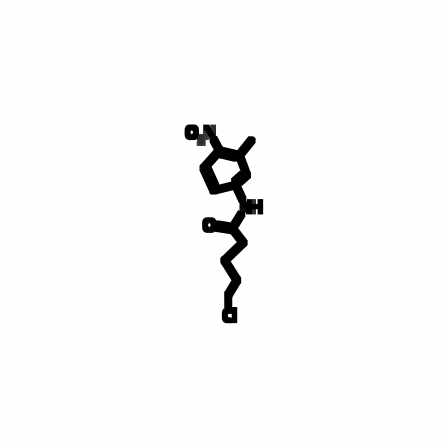 Cc1cc(NC(=O)CCCCCl)ccc1[N+](=O)[O-]